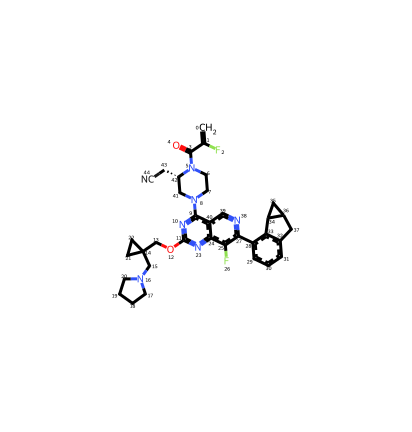 C=C(F)C(=O)N1CCN(c2nc(OCC3(CN4CCCC4)CC3)nc3c(F)c(-c4cccc5c4C4CC4C5)ncc23)C[C@@H]1CC#N